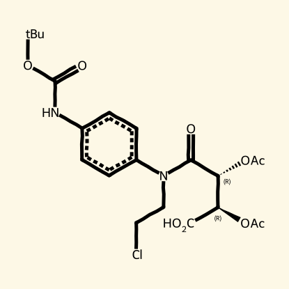 CC(=O)O[C@@H](C(=O)O)[C@@H](OC(C)=O)C(=O)N(CCCl)c1ccc(NC(=O)OC(C)(C)C)cc1